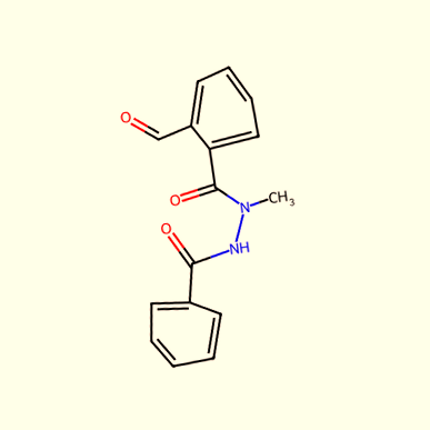 CN(NC(=O)c1ccccc1)C(=O)c1ccccc1C=O